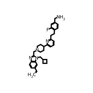 C=Cc1ccc2nc(CN3CCC(c4cccc(CCc5ccc(CN)cc5F)n4)CC3)n(CC3CCC3)c2c1